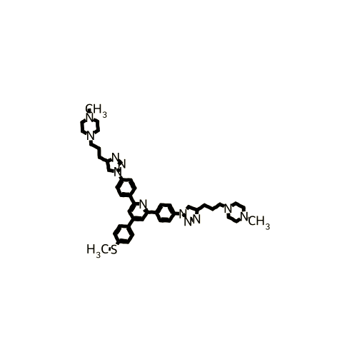 CSc1ccc(-c2cc(-c3ccc(N4CC(CCCN5CCN(C)CC5)N=N4)cc3)nc(-c3ccc(N4CC(CCCN5CCN(C)CC5)N=N4)cc3)c2)cc1